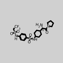 N[C@H](C(=O)N1CCCC1)C1CCC(NS(=O)(=O)c2ccc(NS(=O)(=O)CC(F)(F)F)cc2)CC1